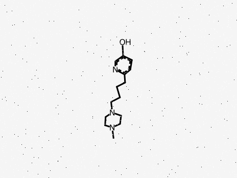 CN1CCN(CCCCc2ccc(O)cn2)CC1